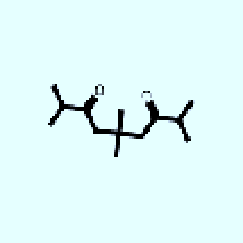 CC(C)C(=O)CC(C)(C)CC(=O)C(C)C